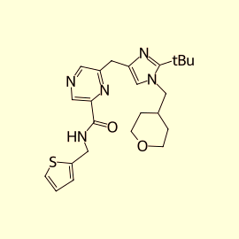 CC(C)(C)c1nc(Cc2cncc(C(=O)NCc3cccs3)n2)cn1CC1CCOCC1